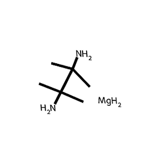 CC(C)(N)C(C)(C)N.[MgH2]